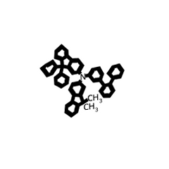 CC1(C)c2ccccc2-c2ccc(N(c3cccc(-c4ccccc4-c4ccccc4)c3)c3ccc4c(c3)C(c3ccccc3)(c3ccccc3)c3ccccc3-4)cc21